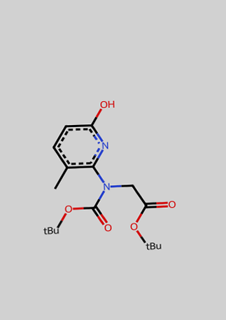 Cc1ccc(O)nc1N(CC(=O)OC(C)(C)C)C(=O)OC(C)(C)C